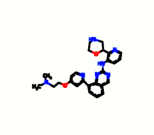 CN(C)CCOc1ccnc(-c2cccc3cnc(Nc4cccnc4C4CNCCO4)nc23)c1